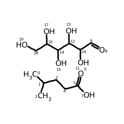 CC(C)CCC(=O)O.O=CC(O)C(O)C(O)C(O)CO